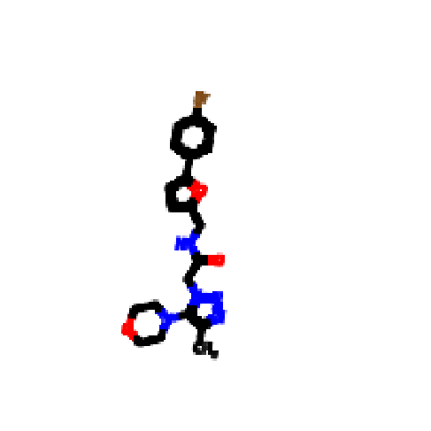 Cc1nnn(CC(=O)NCc2ccc(-c3ccc(Br)cc3)o2)c1N1CCOCC1